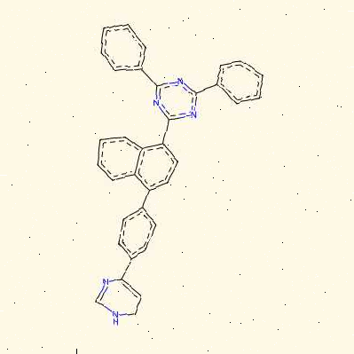 C1=NC(c2ccc(-c3ccc(-c4nc(-c5ccccc5)nc(-c5ccccc5)n4)c4ccccc34)cc2)=CCN1